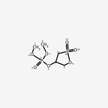 COP(=O)(OC)OC1COS(=O)(=O)C1